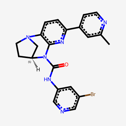 Cc1cc(-c2ccc3c(n2)N(C(=O)Nc2cncc(Br)c2)[C@H]2CCN3C2)ccn1